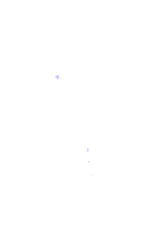 COC(=O)/C(=C/c1ccc(Cl)cc1Oc1ccc2c(c1)NC(=O)CC2)N=[N+]=[N-]